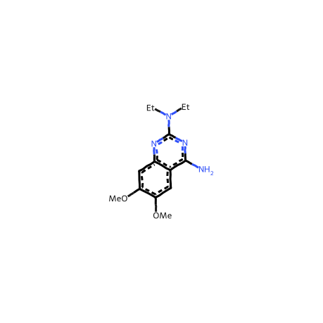 CCN(CC)c1nc(N)c2cc(OC)c(OC)cc2n1